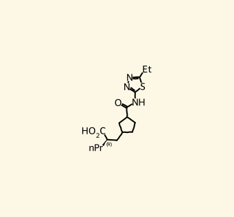 CCC[C@H](CC1CCC(C(=O)Nc2nnc(CC)s2)C1)C(=O)O